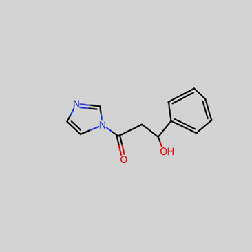 O=C(CC(O)c1ccccc1)n1ccnc1